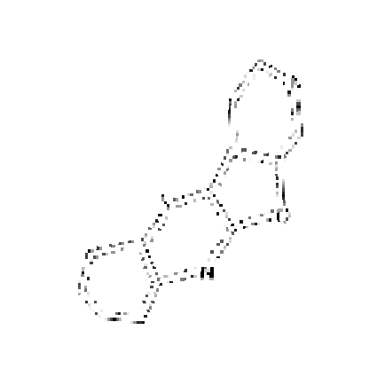 c1ccc2nc3c(nc2c1)oc1cnccc13